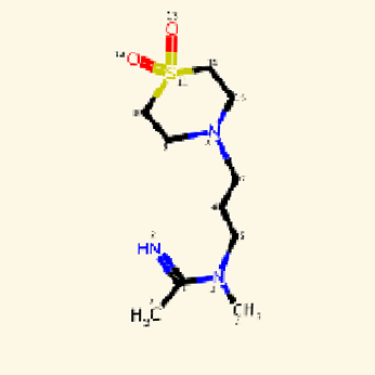 CC(=N)N(C)CCCN1CCS(=O)(=O)CC1